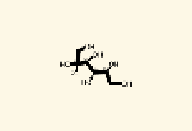 [2H][C@@](O)(CO)[C@@H](O)[C@H](O)[C@H](O)CO